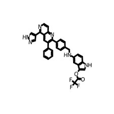 O=C(Oc1c[nH]c2ccc(NCc3ccc(-c4nc5ccnc(-c6cn[nH]c6)c5cc4-c4ccccc4)cc3)cc12)C(F)(F)F